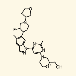 Cc1nc(N2CCO[C@H](CO)C2)cc(-n2ncc3cc(C)c(C4CCN(C5CCOC5)CC4F)cc32)n1